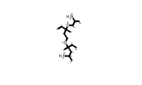 CCC(C)(CCOC(C)(CC)CC(C)N)OCC(C)N